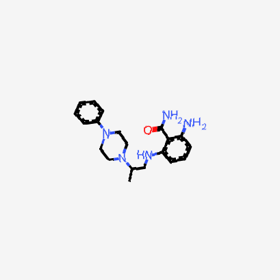 CC(CNc1cccc(N)c1C(N)=O)N1CCN(c2ccccc2)CC1